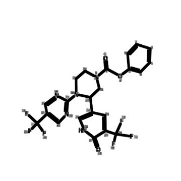 O=C(Oc1ccccc1)N1CCN(c2ncc(C(F)(F)F)cn2)C(c2c[nH]c(=O)c(C(F)(F)F)c2)C1